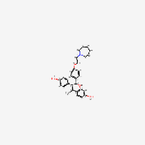 Oc1ccc(C2=C(C(F)(F)F)c3ccc(O)cc3OC2c2ccc(OCCN3CCCCCC3)cc2)cc1